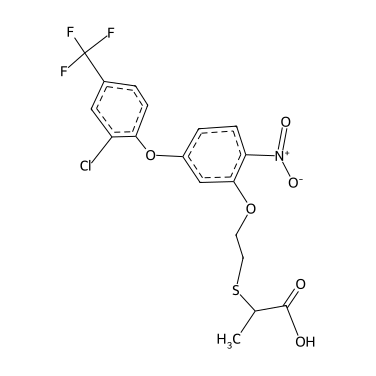 CC(SCCOc1cc(Oc2ccc(C(F)(F)F)cc2Cl)ccc1[N+](=O)[O-])C(=O)O